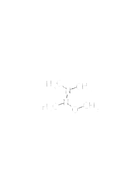 CON(C)N(C)C